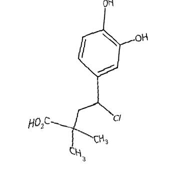 CC(C)(CC(Cl)c1ccc(O)c(O)c1)C(=O)O